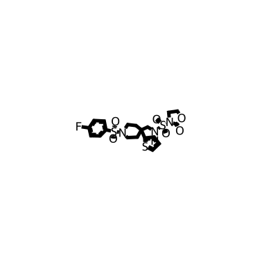 O=C1OCCN1S(=O)(=O)NCC1(c2cccs2)CCN(S(=O)(=O)c2ccc(F)cc2)CC1